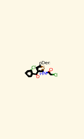 CCCCCCCCCCc1cc(C(=O)c2ccccc2Cl)c(NC(=O)CCl)s1